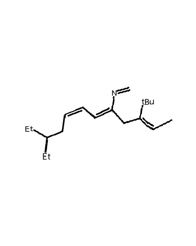 C=N/C(=C\C=C/CC(CC)CC)C/C(=C/C)C(C)(C)C